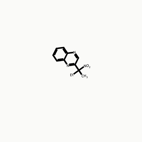 CCC(C)(c1cnc2ccccc2n1)[N+](=O)[O-]